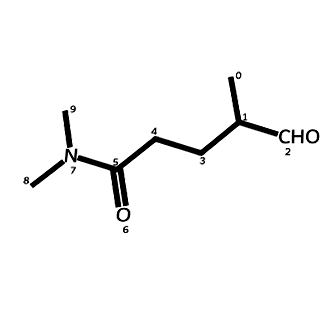 CC(C=O)CCC(=O)N(C)C